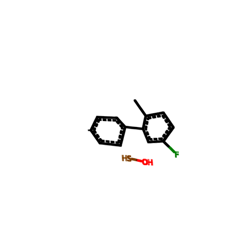 Cc1ccc(F)cc1-c1cc[c]cc1.OS